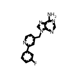 Nc1ncnc2c1ncn2Cc1ccnc(-c2cccc(F)c2)c1